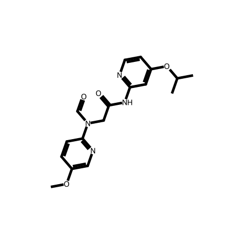 COc1ccc(N(C=O)CC(=O)Nc2cc(OC(C)C)ccn2)nc1